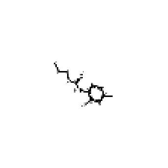 CCCOC(=O)Nc1ccc(C)cc1F